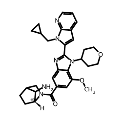 COc1cc(C(=O)N2CC3CC[C@@H]2C3N)cc2nc(-c3cc4cccnc4n3CC3CC3)n(C3CCOCC3)c12